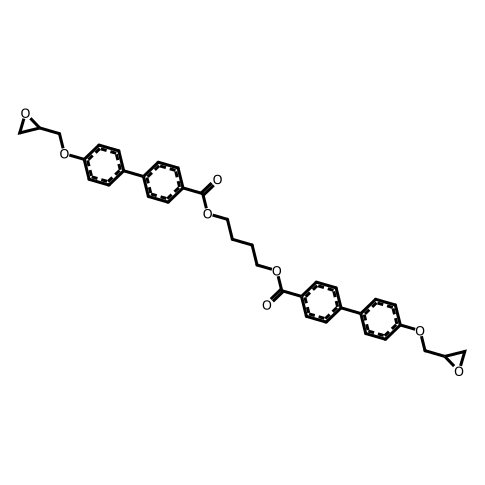 O=C(OCCCCOC(=O)c1ccc(-c2ccc(OCC3CO3)cc2)cc1)c1ccc(-c2ccc(OCC3CO3)cc2)cc1